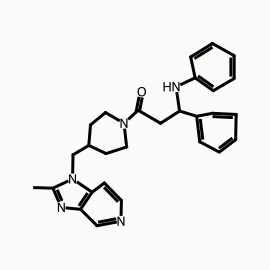 Cc1nc2cnccc2n1CC1CCN(C(=O)CC(Nc2ccccc2)c2ccccc2)CC1